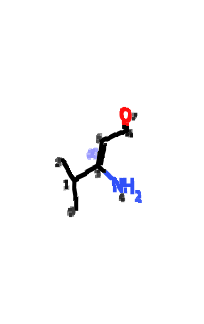 CC(C)/C(N)=C/[C]=O